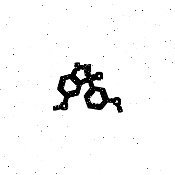 COc1cccc(S2(=O)=NSc3ccc(OC)cc32)c1